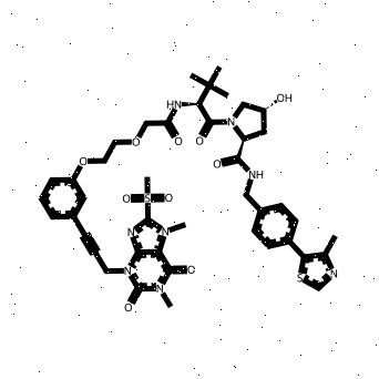 Cc1ncsc1-c1ccc(CNC(=O)[C@@H]2C[C@@H](O)CN2C(=O)[C@@H](NC(=O)COCCOc2cccc(C#CCn3c(=O)n(C)c(=O)c4c3nc(S(C)(=O)=O)n4C)c2)C(C)(C)C)cc1